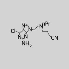 CCCN(CCCC#N)CCn1cnc2c(Cl)nc(N)nc21